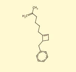 C=C(C)CCCCC1=CCC1Cc1ccccc1